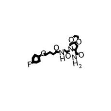 NC(=O)C1CC2(CN1C(=O)CNC(=O)CCCOc1ccc(F)cc1)OCCO2